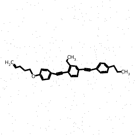 C=CCCCOc1ccc(C#Cc2ccc(C#Cc3ccc(CCC)cc3)cc2CC)cc1